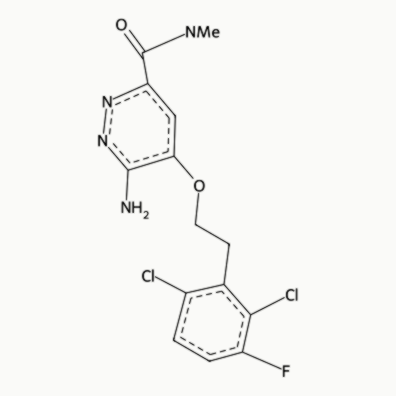 CNC(=O)c1cc(OCCc2c(Cl)ccc(F)c2Cl)c(N)nn1